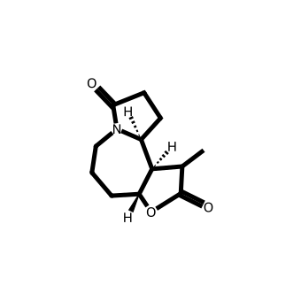 CC1C(=O)O[C@@H]2CCCN3C(=O)CC[C@H]3[C@@H]12